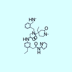 CCc1ccc(NC(=O)CN(Cc2ccccc2CNC)C(=O)C2(CC)CCN(C)C(=O)C2)cc1CC(=O)Nc1ccccn1